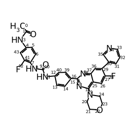 CC(=O)Nc1ccc(NC(=O)Nc2ccc(-c3nc(N4CCOCC4)c4cc(F)c(-c5cccnc5)cc4n3)cc2)c(F)c1